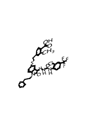 Cc1cc(CCSc2ccc3c(c2)C(=NNC(=O)Nc2ccc(C(F)(F)F)cc2Cl)C(=O)N3CCc2ccccc2)ccc1C(=O)O